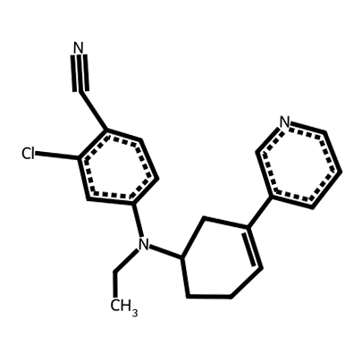 CCN(c1ccc(C#N)c(Cl)c1)C1CCC=C(c2cccnc2)C1